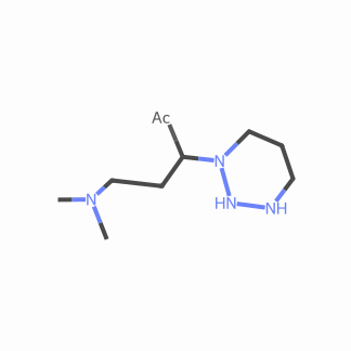 CC(=O)C(CCN(C)C)N1CCCNN1